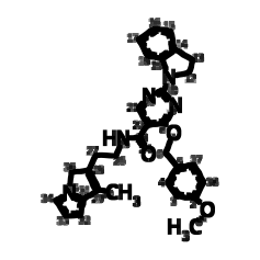 COc1ccc(COc2nc(N3CCc4ccccc43)ncc2C(=O)NCCC2=C(C)c3cccn3C2)cc1